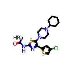 O=[C]([RaH])Nc1nc(-c2cc(Cl)cs2)c(N2CCN(C3CCCCC3)CC2)s1